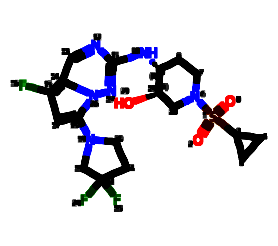 O=S(=O)(C1CC1)N1CC[C@@H](Nc2ncc3c(F)cc(N4CCC(F)(F)C4)n3n2)[C@H](O)C1